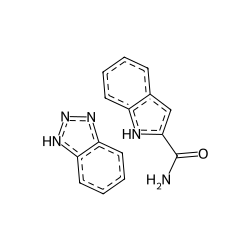 NC(=O)c1cc2ccccc2[nH]1.c1ccc2[nH]nnc2c1